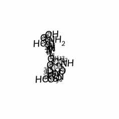 C[C@]1(CC(=O)Nc2nccs2)NCCc2cc(OCCn3cc(C(O)C(N)C(=O)O)nn3)c(Oc3ccc(C(=O)O)c(F)c3)cc21